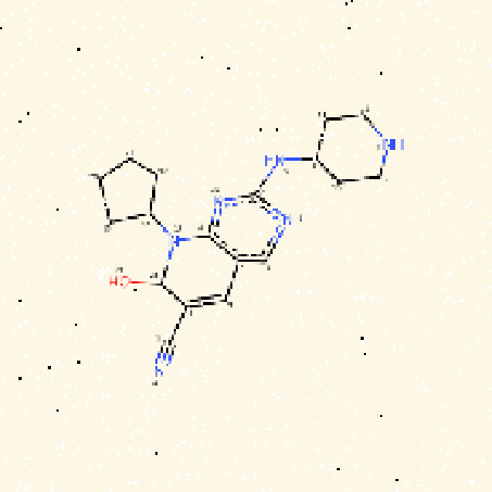 N#CC1=Cc2cnc(NC3CCNCC3)nc2N(C2CCCC2)C1O